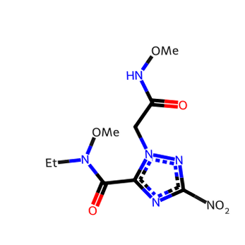 CCN(OC)C(=O)c1nc([N+](=O)[O-])nn1CC(=O)NOC